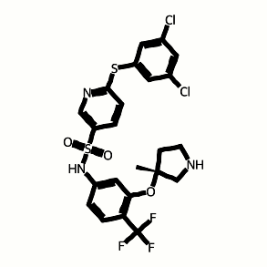 C[C@@]1(Oc2cc(NS(=O)(=O)c3ccc(Sc4cc(Cl)cc(Cl)c4)nc3)ccc2C(F)(F)F)CCNC1